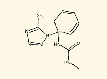 CNC(=O)NC1(n2nnnc2S)C=CC=CC1